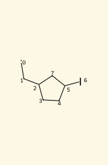 [CH2]CC1CCC(I)C1